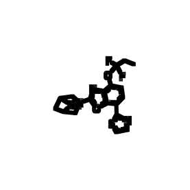 CCC(F)(F)Oc1ccc(-c2nccs2)c2oc(N3CC4CC(C3)N4)nc12